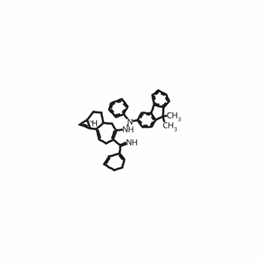 CC1(C)c2ccccc2-c2cc(N(NC3=C(C(=N)C4=CCCC=C4)CC=C4C5=C[C@H]5CCC4C3)c3ccccc3)ccc21